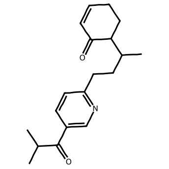 CC(C)C(=O)c1ccc(CCC(C)C2CCC=CC2=O)nc1